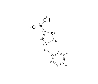 O=C(O)C1=CN([CH]c2ccccc2)CS1